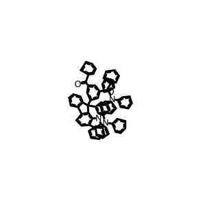 O=C(c1ccccc1)c1cc(C(=O)c2ccccc2)cc(C2(c3cc(N(c4ccccc4)c4ccccc4)cc(N(c4ccccc4)c4ccccc4)c3)c3ccccc3-c3ccc4c(c32)N(c2ccccc2)C2C=CC=CC42)c1